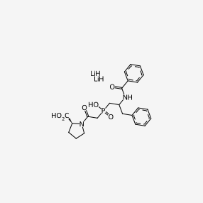 O=C(NC(Cc1ccccc1)CP(=O)(O)CC(=O)N1CCC[C@H]1C(=O)O)c1ccccc1.[LiH].[LiH]